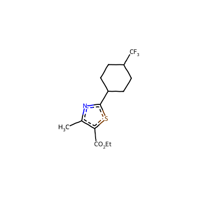 CCOC(=O)c1sc(C2CCC(C(F)(F)F)CC2)nc1C